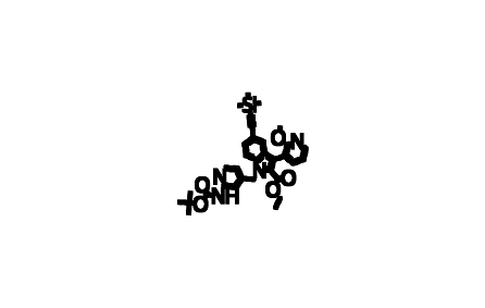 CCOC(=O)c1c(-c2cccnc2OC)c2cc(C#C[Si](C)(C)C)ccc2n1Cc1ccnc(NC(=O)OC(C)(C)C)c1